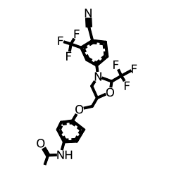 CC(=O)Nc1ccc(OCC2CN(c3ccc(C#N)c(C(F)(F)F)c3)C(C(F)(F)F)O2)cc1